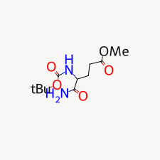 COC(=O)CCC(NC(=O)OC(C)(C)C)C(N)=O